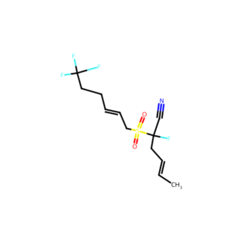 CC=CCC(F)(C#N)S(=O)(=O)CC=CCCC(F)(F)F